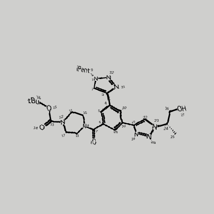 CCC[C@@H](C)n1cc(-c2cc(C(=O)N3CCN(C(=O)OC(C)(C)C)CC3)cc(-c3cn([C@@H](C)CO)nn3)c2)nn1